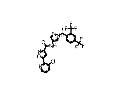 C[C@H](c1ccc(C(F)(F)F)cc1C(F)(F)F)n1cc(NC(=O)c2cc(-c3ncccc3Cl)on2)cn1